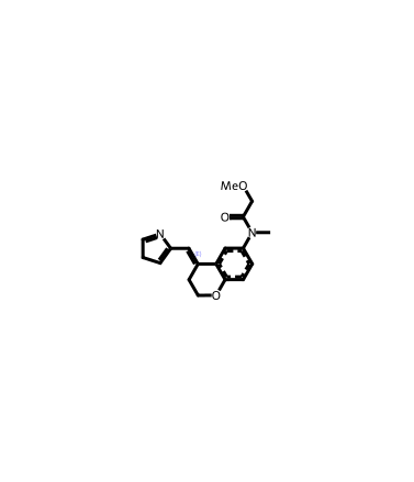 COCC(=O)N(C)c1ccc2c(c1)/C(=C/C1=CCC=N1)CCO2